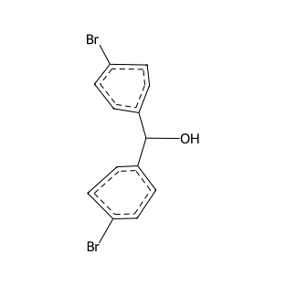 OC(c1ccc(Br)cc1)c1ccc(Br)cc1